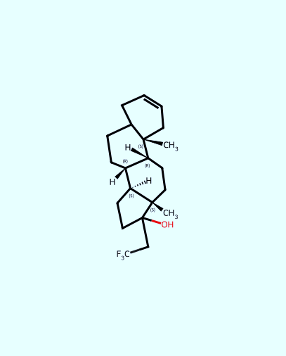 C[C@]12CC=CCC1CC[C@@H]1[C@H]2CC[C@@]2(C)[C@H]1CCC2(O)CC(F)(F)F